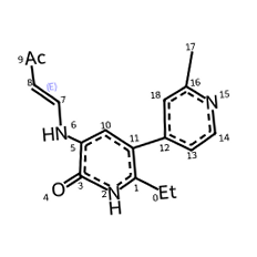 CCc1[nH]c(=O)c(N/C=C/C(C)=O)cc1-c1ccnc(C)c1